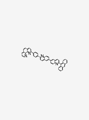 c1ccc2c(-c3ccc4cc(-c5ccc6nc(-c7ccc(-c8ccc9ccc%10cccnc%10c9n8)cc7)ccc6c5)ccc4n3)c3ccccc3cc2c1